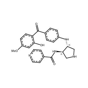 COc1ccc(C(=O)c2ccc(N[C@@H]3CNC[C@H]3NC(=O)c3ccncc3)cc2)c(O)c1